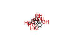 OCC1CCC(CO)CC1.OCCOCCO.Oc1ccc(O)cc1